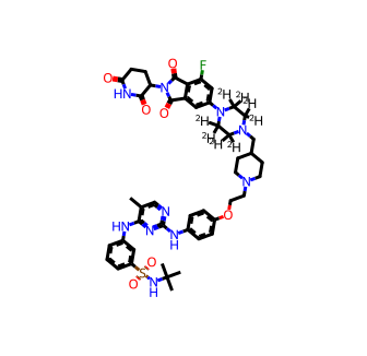 [2H]C1([2H])N(CC2CCN(CCOc3ccc(Nc4ncc(C)c(Nc5cccc(S(=O)(=O)NC(C)(C)C)c5)n4)cc3)CC2)C([2H])([2H])C([2H])([2H])N(c2cc(F)c3c(c2)C(=O)N(C2CCC(=O)NC2=O)C3=O)C1([2H])[2H]